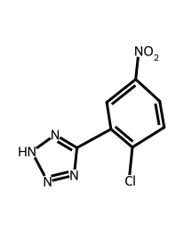 O=[N+]([O-])c1ccc(Cl)c(-c2nn[nH]n2)c1